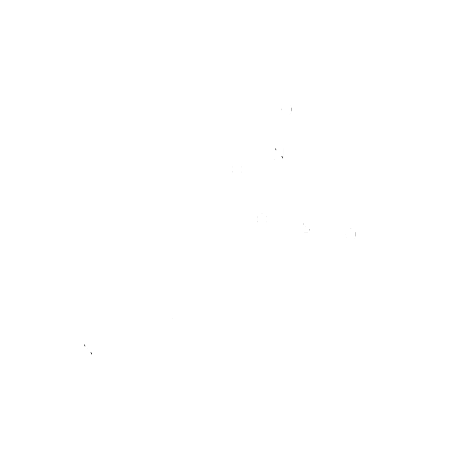 C=CC(c1ccc(C#N)cc1)S(=O)(=O)C[N+](=O)[O-]